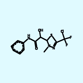 CN1N=C(C(F)(F)Cl)SC1C(O)C(=O)Nc1ccccc1